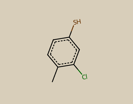 Cc1ccc(S)cc1Cl